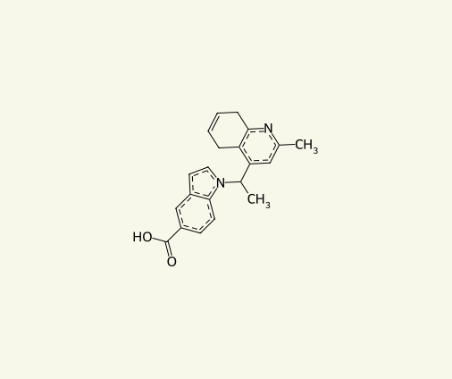 Cc1cc(C(C)n2ccc3cc(C(=O)O)ccc32)c2c(n1)CC=CC2